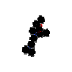 c1ccc(-c2ccc(N(c3ccc(-c4ccc(-n5c6ccccc6c6ccccc65)cc4)cc3)c3ccccc3-c3cccc4oc5c(-c6ccccc6)cccc5c34)cc2)cc1